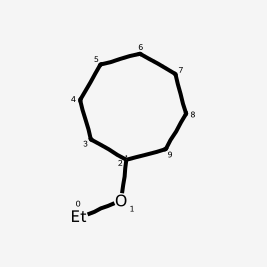 CCO[C]1CCCCCCC1